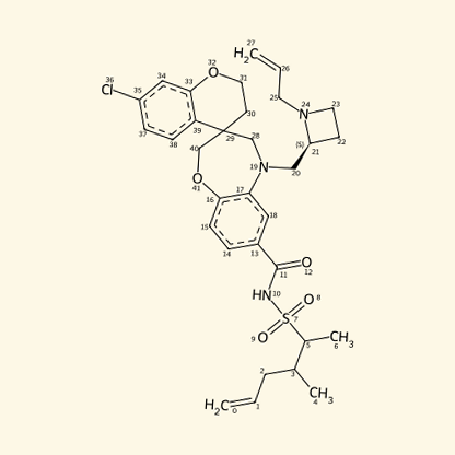 C=CCC(C)C(C)S(=O)(=O)NC(=O)c1ccc2c(c1)N(C[C@@H]1CCN1CC=C)CC1(CCOc3cc(Cl)ccc31)CO2